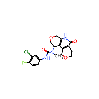 CN(C(=O)Nc1ccc(F)c(Cl)c1)[C@H]1COCc2[nH]c(=O)c3c(c21)COCC3